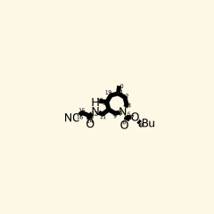 CC1CCN(C(=O)OC(C)(C)C)CC(CNC(=O)CC#N)C(C)C1